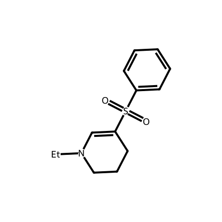 CCN1C=C(S(=O)(=O)c2ccccc2)CCC1